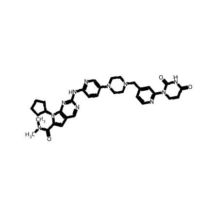 CN(C)C(=O)c1cc2cnc(Nc3ccc(N4CCN(Cc5ccnc(N6CCC(=O)NC6=O)c5)CC4)cn3)nc2n1C1CCCC1